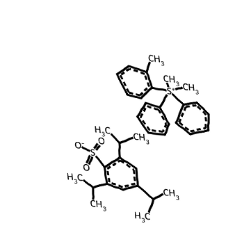 CC(C)c1cc(C(C)C)c(S(=O)(=O)[O-])c(C(C)C)c1.Cc1ccccc1[S+](C)(C)(c1ccccc1)c1ccccc1